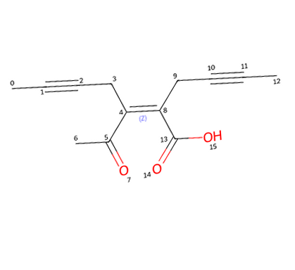 CC#CC/C(C(C)=O)=C(\CC#CC)C(=O)O